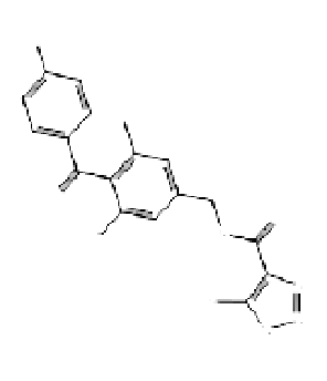 Cc1cc(CNC(=O)c2nn[nH]c2N)cc(Cl)c1C(=O)c1ccc(C(F)(F)F)cc1